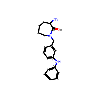 NC1CCCCN(Cc2cccc(Nc3ccccc3)c2)C1=O